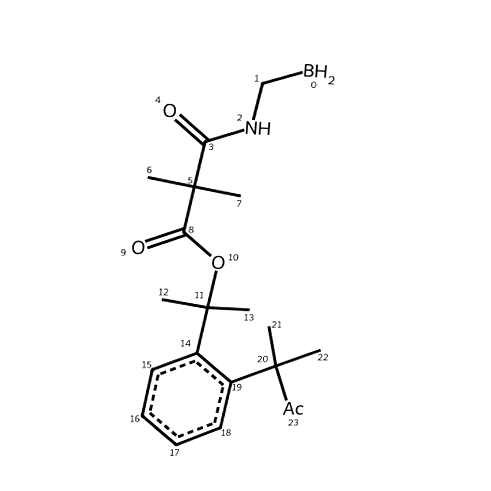 BCNC(=O)C(C)(C)C(=O)OC(C)(C)c1ccccc1C(C)(C)C(C)=O